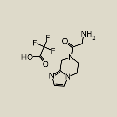 NCC(=O)N1CCn2ccnc2C1.O=C(O)C(F)(F)F